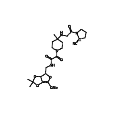 COC1=C2OC(C)(C)OC2C(CNC(=O)C(=O)N2CCC(C)(NCC(=O)N3CCC[C@H]3C#N)CC2)O1